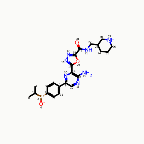 CC(C)[S+]([O-])c1ccc(-c2cnc(N)c(-c3nnc(C(=O)NCC4CCCNC4)o3)n2)cc1